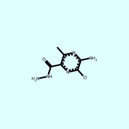 Cc1nc(N)c(Cl)nc1C(=O)NN